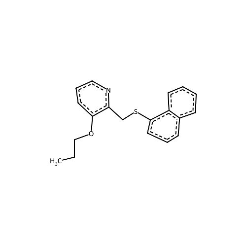 CCCOc1cccnc1CSc1cccc2ccccc12